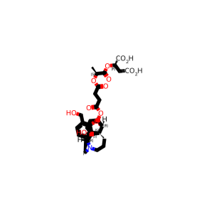 C[C@H](OC(=O)CCC(=O)OC1=CC[C@@]2(O)[C@H]3Cc4ccc(CO)c5c4[C@@]2(CCCN3C)[C@H]1O5)C(=O)O[C@H](CC(=O)O)C(=O)O